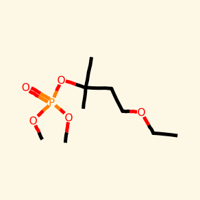 CCOCCC(C)(C)OP(=O)(OC)OC